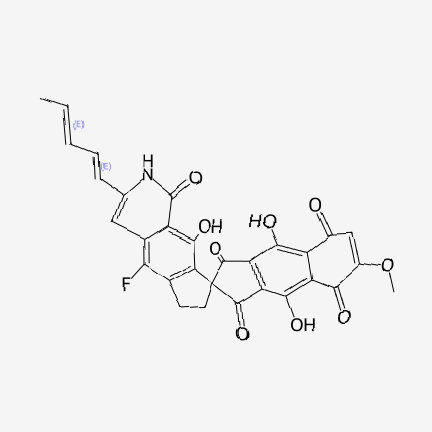 C/C=C/C=C/c1cc2c(F)c3c(c(O)c2c(=O)[nH]1)C1(CC3)C(=O)c2c(O)c3c(c(O)c2C1=O)C(=O)C(OC)=CC3=O